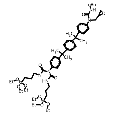 CCCCNC(=O)N(CC1CO1)c1ccc(C(C)(C)c2ccc(C(C)(C)c3ccc(N(C(=O)NCCC[Si](OCC)(OCC)OCC)C(=O)NCCC[Si](OCC)(OCC)OCC)cc3)cc2)cc1